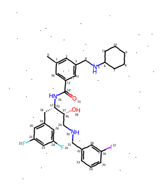 Cc1cc(CNC2CCCCC2)cc(C(=O)N[C@@H](Cc2cc(F)cc(F)c2)[C@H](O)CNCc2cccc(I)c2)c1